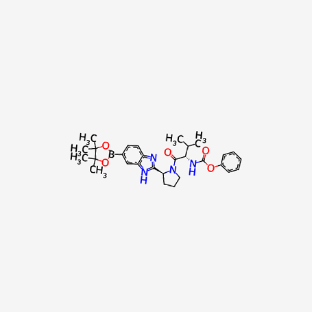 CC(C)[C@H](NC(=O)Oc1ccccc1)C(=O)N1CCC[C@H]1c1nc2ccc(B3OC(C)(C)C(C)(C)O3)cc2[nH]1